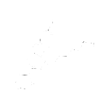 NC(=O)Cc1nnc([C@H](CCCCOC(N)=O)NC(=O)C2CCCCC2)o1